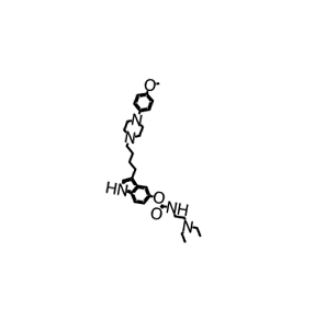 CCN(CC)CCNC(=O)Oc1ccc2[nH]cc(CCCCN3CCN(c4ccc(OC)cc4)CC3)c2c1